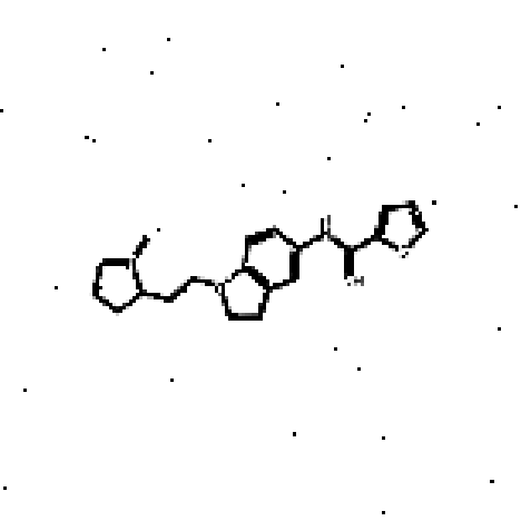 CN1CCCC1CCN1CCc2cc(NC(=N)c3cccs3)ccc21